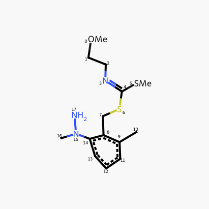 COCCN=C(SC)SCc1c(C)cccc1N(C)N